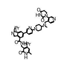 CCCc1cc(C)[nH]c(=O)c1CNC(=O)c1cc(-c2ccc(N3CCC(N(C)Cc4ccncc4N4CCC(=O)NC4=O)CC3)nc2)cc2c1cnn2C(C)C